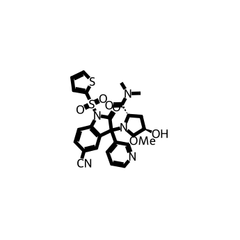 COc1ncccc1C1(N2C[C@H](O)C[C@H]2C(=O)N(C)C)C(=O)N(S(=O)(=O)c2cccs2)c2ccc(C#N)cc21